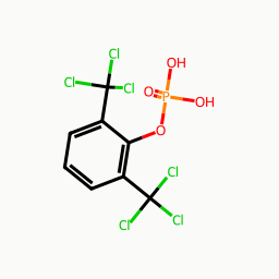 O=P(O)(O)Oc1c(C(Cl)(Cl)Cl)cccc1C(Cl)(Cl)Cl